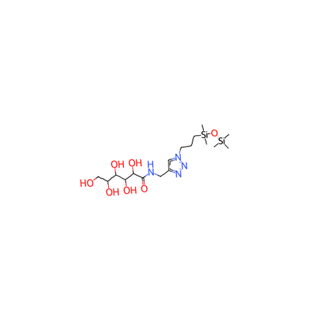 C[Si](C)(C)O[Si](C)(C)CCCn1cc(CNC(=O)C(O)C(O)C(O)C(O)CO)nn1